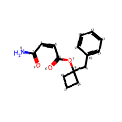 NC(=O)/C=C\C(=O)OC1(Cc2ccccc2)CCC1